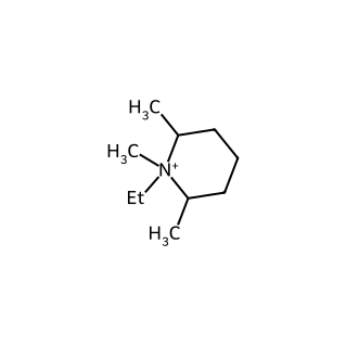 CC[N+]1(C)C(C)CCCC1C